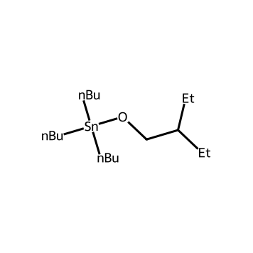 CCC[CH2][Sn]([CH2]CCC)([CH2]CCC)[O]CC(CC)CC